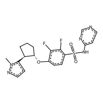 Cn1nccc1[C@H]1CCC[C@@H]1Oc1ccc(S(=O)(=O)Nc2ccncn2)c(F)c1F